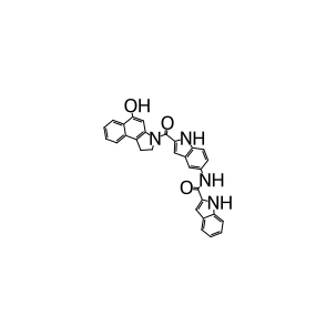 O=C(Nc1ccc2[nH]c(C(=O)N3CCc4c3cc(O)c3ccccc43)cc2c1)c1cc2ccccc2[nH]1